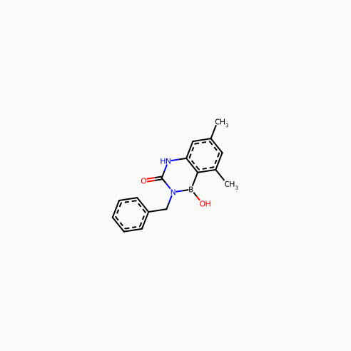 Cc1cc(C)c2c(c1)NC(=O)N(Cc1ccccc1)B2O